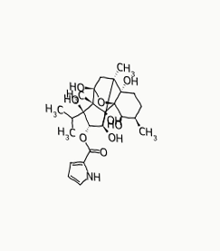 CC(C)[C@@]1(O)[C@@H](OC(=O)c2ccc[nH]2)[C@@]2(O)[C@@]3(C)C[C@]4(O)O[C@@]5([C@H](O)[C@H](C)CC[C@]35O)[C@@]2(O)[C@]14C